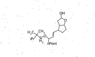 CCCCCC(/C=C/C1CCC2OC(O)CC12)O[SiH2]C(C)(C)C(C)C